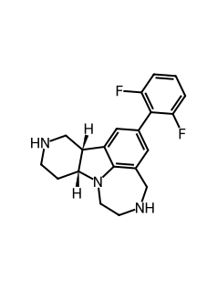 Fc1cccc(F)c1-c1cc2c3c(c1)[C@H]1CNCC[C@H]1N3CCNC2